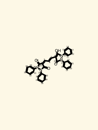 O=C1C(=C/C=C/c2c(O)n(-c3ccccc3)n(-c3ccccc3)c2=O)C(=O)N(c2ccccc2)N1c1ccccc1